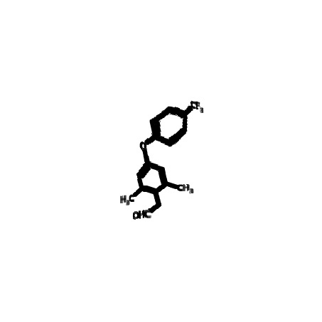 Cc1cc(Oc2ccc(C(F)(F)F)cc2)cc(C)c1CC=O